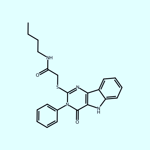 CCCCNC(=O)CSc1nc2c([nH]c3ccccc32)c(=O)n1-c1ccccc1